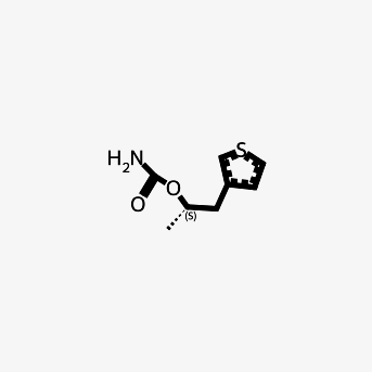 C[C@@H](Cc1ccsc1)OC(N)=O